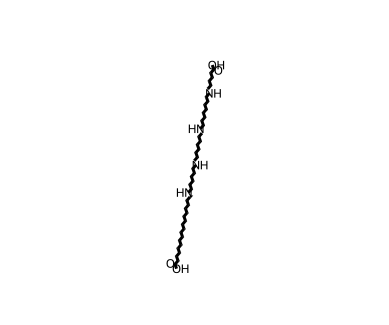 O=C(O)CCCCCCCCCCCCCCCCCNCCCCCCNCCCCCCCCNCCCCCCCCNCCCCCC(=O)O